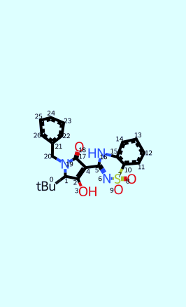 CC(C)(C)C1C(O)=C(C2=NS(=O)(=O)c3ccccc3N2)C(=O)N1Cc1ccccc1